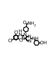 NC(=O)C1CCC(n2c(Nc3c(Cl)cc(Cl)cc3Cl)nc3cnc(N[C@@H]4CCC[C@H](O)C4)nc32)CC1